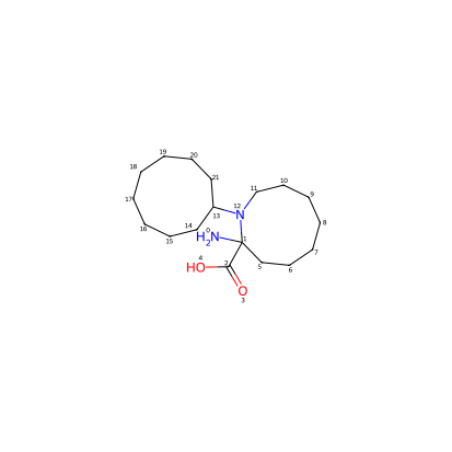 NC1(C(=O)O)CCCCCCCN1C1CCCCCCCC1